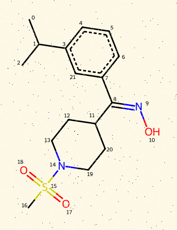 CC(C)c1cccc(/C(=N/O)C2CCN(S(C)(=O)=O)CC2)c1